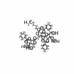 C=CCCCOC1OC(COC2OC(CO)C(OCCCC)C2OC(=O)c2ccccc2)C(OC2OC(CO)C(OCCCC)C2OC(=O)c2ccccc2)C1OC(=O)c1ccccc1